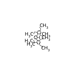 CCCc1cc(CCC)c(-c2cccc(-c3c(CCC)cc(CCC)cc3C(C)CC)c2I)c(CCC)c1